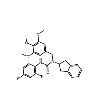 COc1cc(CN(C(=O)Nc2ccc(F)cc2F)C2Cc3ccccc3C2)cc(OC)c1OC